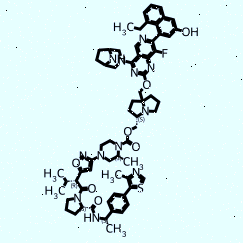 CCc1cccc2cc(O)cc(-c3ncc4c(N5CC6CCC(C5)N6)nc(OCC56CCCN5[C@H](COC(=O)N5CCN(c7cc([C@H](C(=O)N8CCC[C@H]8C(=O)N[C@@H](C)c8ccc(-c9scnc9C)cc8)C(C)C)on7)C[C@@H]5C)CC6)nc4c3F)c12